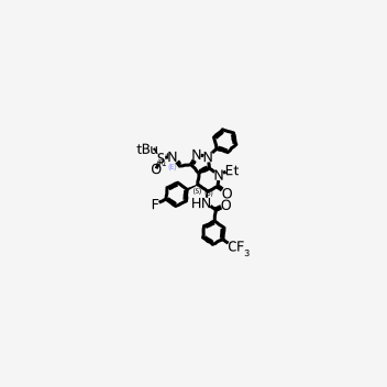 CCN1C(=O)[C@@H](NC(=O)c2cccc(C(F)(F)F)c2)[C@@H](c2ccc(F)cc2)c2c(/C=N/[S@@+]([O-])C(C)(C)C)nn(-c3ccccc3)c21